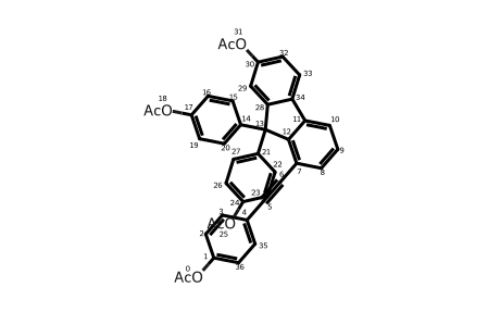 CC(=O)Oc1ccc(C#Cc2cccc3c2C(c2ccc(OC(C)=O)cc2)(c2ccc(OC(C)=O)cc2)c2cc(OC(C)=O)ccc2-3)cc1